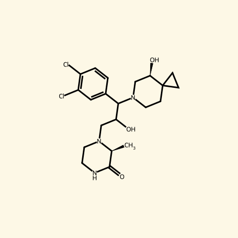 C[C@H]1C(=O)NCCN1CC(O)C(c1ccc(Cl)c(Cl)c1)N1CCC2(CC2)[C@H](O)C1